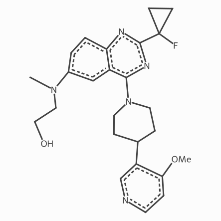 COc1ccncc1C1CCN(c2nc(C3(F)CC3)nc3ccc(N(C)CCO)cc23)CC1